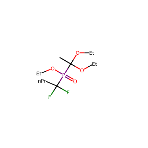 CCCC(F)(F)P(=O)(OCC)C(C)(OCC)OCC